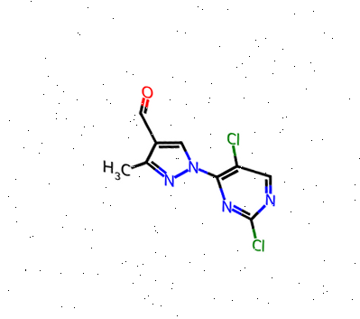 Cc1nn(-c2nc(Cl)ncc2Cl)cc1C=O